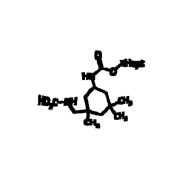 CCCCCCCOC(=O)NC1CC(C)(C)CC(C)(CNC(=O)O)C1